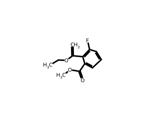 C=C(OCC)c1c(F)cccc1C(=O)OC